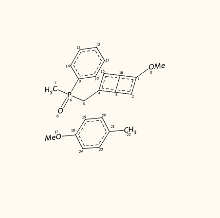 COc1cc2c(CP(C)(=O)c3ccccc3)cc1-2.COc1ccc(C)cc1